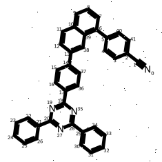 N#Cc1ccc(-c2cccc3ccc(-c4ccc(-c5nc(-c6ccccc6)nc(-c6ccccc6)n5)cc4)cc23)cc1